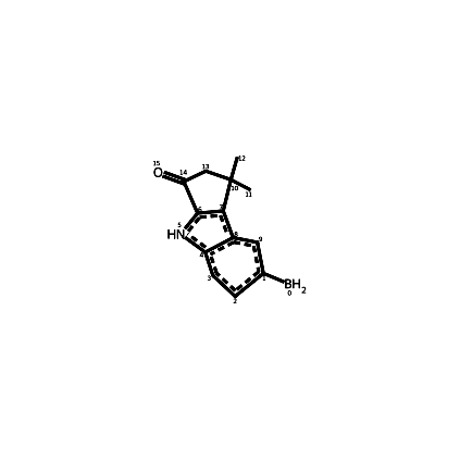 Bc1ccc2[nH]c3c(c2c1)C(C)(C)CC3=O